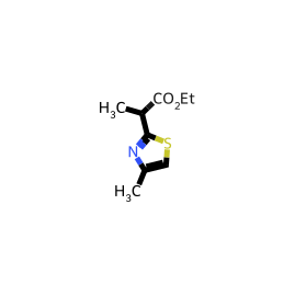 CCOC(=O)C(C)c1nc(C)cs1